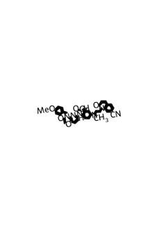 COc1ccc(CN2C(=O)COc3ccc(N4C(=O)O[C@@H]5C[C@@H](N(C)CCn6c(=O)ccc7ccc(C#N)cc76)CC[C@@H]54)nc32)cc1